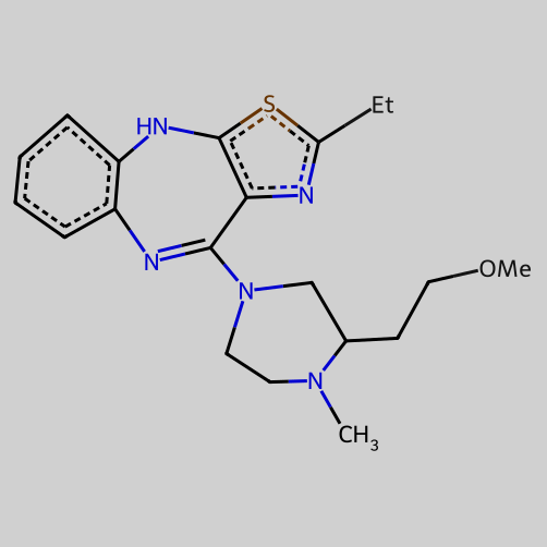 CCc1nc2c(s1)Nc1ccccc1N=C2N1CCN(C)C(CCOC)C1